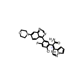 NC(=O)/C(=C1/NC=Nn2cccc21)c1cc(-c2ncnc3cc(N4CCOCC4)ccc23)c(F)cc1Cl